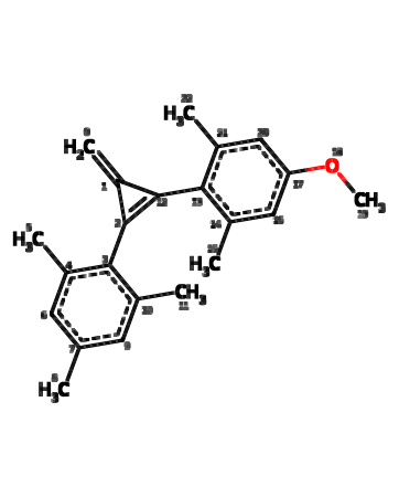 C=C1C(c2c(C)cc(C)cc2C)=C1c1c(C)cc(OC)cc1C